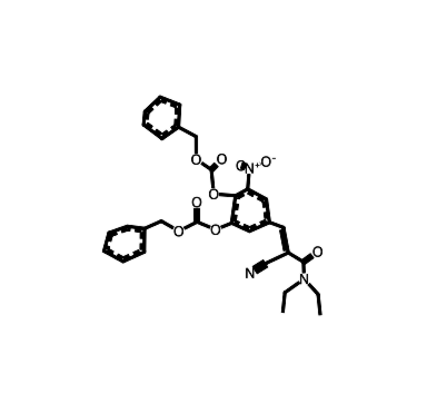 CCN(CC)C(=O)/C(C#N)=C/c1cc(OC(=O)OCc2ccccc2)c(OC(=O)OCc2ccccc2)c([N+](=O)[O-])c1